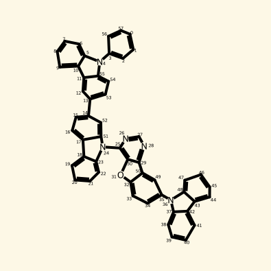 c1ccc(-n2c3ccccc3c3cc(-c4ccc5c6ccccc6n(-c6ncnc7c6oc6ccc(-n8c9ccccc9c9ccccc98)cc67)c5c4)ccc32)cc1